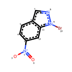 O=[N+]([O-])c1ccc2cnn(Br)c2c1